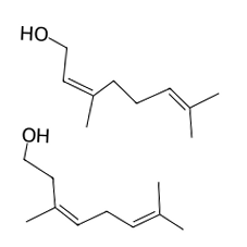 CC(C)=CCC/C(C)=C\CO.CC(C)=CCC=C(C)CCO